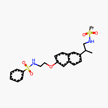 CC(CNS(=O)(=O)C(C)C)c1ccc2cc(OCCNS(=O)(=O)c3ccccc3)ccc2c1